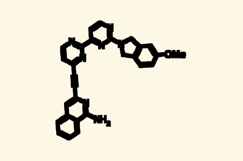 COc1ccc2c(c1)CN(c1nccc(-c3nccc(C#Cc4cc5ccccc5c(N)n4)n3)n1)C2